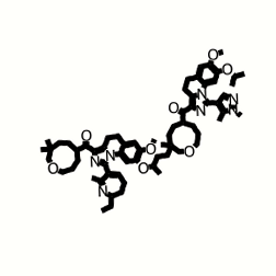 CCC1CCC=C(c2nc(C(=O)C3CCCOCC(C)(C)CC3)c3n2-c2cc(OC(C)CCC4(C)CCC(C(=O)c5nc(-c6cnn(C)c6C)n6c5CCc5cc(OC)c(OC(C)C)cc5-6)CCCOC4)c(OC)cc2CC3)C(C)=N1